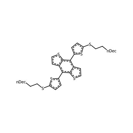 CCCCCCCCCCCCSc1ccc(-c2c3ccsc3c(-c3ccc(SCCCCCCCCCCCC)s3)c3ccsc23)s1